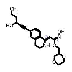 CCCC(O)C#Cc1ccc2c(c1)CCN/C2=C\C(=N/O)OCC1COCCO1